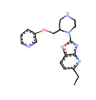 CCc1ccc2oc(N3CCNCC3COc3cccnc3)nc2n1